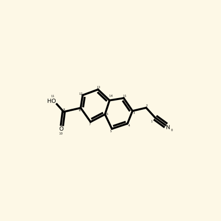 N#CCc1ccc2cc(C(=O)O)ccc2c1